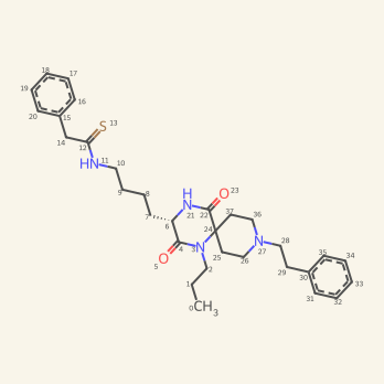 CCCN1C(=O)[C@H](CCCCNC(=S)Cc2ccccc2)NC(=O)C12CCN(CCc1ccccc1)CC2